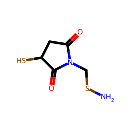 NSCN1C(=O)CC(S)C1=O